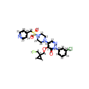 O=c1c(OCC2(CF)CC2)c(N2CCN(S(=O)(=O)Cc3ccncc3)CC2)cnn1-c1cccc(Cl)c1